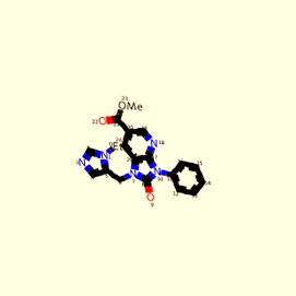 CCn1cncc1Cn1c(=O)n(-c2ccccc2)c2ncc(C(=O)OC)cc21